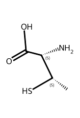 C[C@H](S)[C@@H](N)C(=O)O